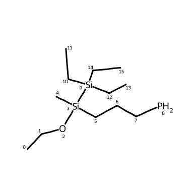 CCO[Si](C)(CCCP)[Si](CC)(CC)CC